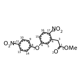 COC(=O)Cc1cc(Oc2ccc([N+](=O)[O-])cc2)ccc1[N+](=O)[O-]